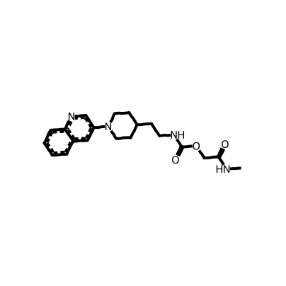 CNC(=O)COC(=O)NCCC1CCN(c2cnc3ccccc3c2)CC1